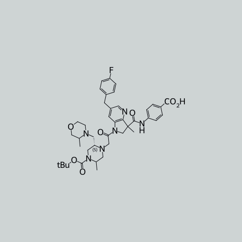 CC1COCCN1C[C@H]1CN(C(=O)OC(C)(C)C)C(C)CN1CC(=O)N1CC(C)(C(=O)Nc2ccc(C(=O)O)cc2)c2ncc(Cc3ccc(F)cc3)cc21